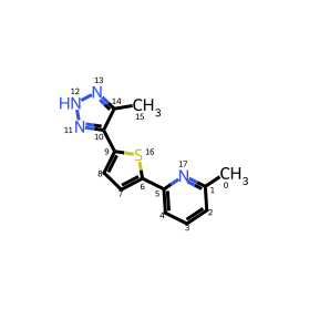 Cc1cccc(-c2ccc(-c3n[nH]nc3C)s2)n1